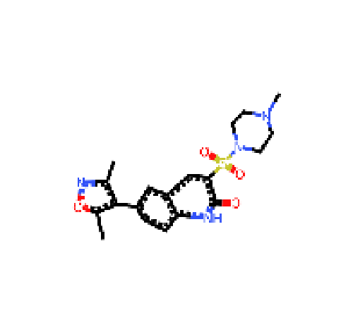 Cc1noc(C)c1-c1ccc2[nH]c(=O)c(S(=O)(=O)N3CCN(C)CC3)cc2c1